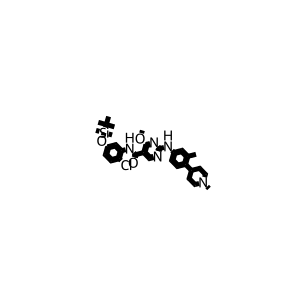 COc1nc(Nc2ccc(C3CCN(C)CC3)c(C)c2)ncc1C(=O)Nc1cc(O[Si](C)(C)C(C)(C)C)ccc1Cl